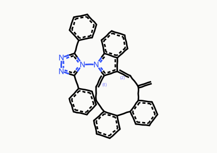 C=C1/C=c2\c(n(-n3c(-c4ccccc4)nnc3-c3ccccc3)c3ccccc23)=C/Cc2ccccc2-c2ccccc21